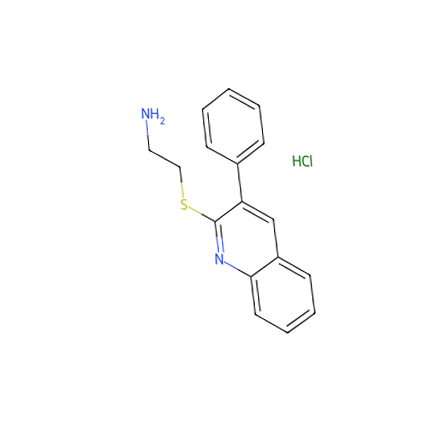 Cl.NCCSc1nc2ccccc2cc1-c1ccccc1